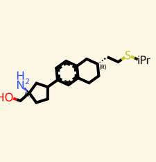 CC(C)SCC[C@@H]1CCc2cc(C3CC[C@](N)(CO)C3)ccc2C1